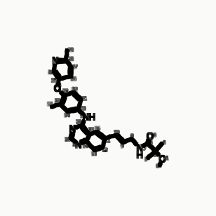 COC(C)(C)C(=O)NCC=Cc1ccc2ncnc(Nc3ccc(Oc4ccc(C)nc4)c(C)c3)c2c1